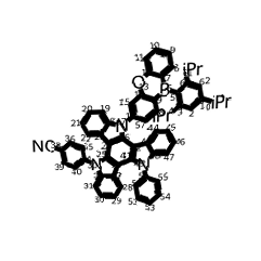 CC(C)c1cc(C(C)C)c(B2c3ccccc3Oc3cc(-n4c5ccccc5c5c6c(c7ccccc7n6-c6ccc(C#N)cc6)c6c(c7ccccc7n6-c6ccccc6)c54)ccc32)c(C(C)C)c1